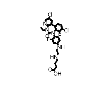 CCN1C(=O)N(c2c(F)cc(NCCNCCCC(=O)O)cc2F)c2c(ccc(Cl)c2F)-c2cc(Cl)cnc21